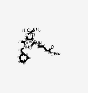 COC(=O)CCCNC(=O)[C@@H]1OC(C)(C)O[C@H]1C(=O)NCc1ccccc1